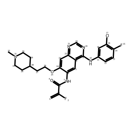 C=C(F)C(=O)Nc1cc2c(Nc3ccc(F)c(Cl)c3)ncnc2cc1OCCC1CCN(C)CC1